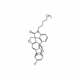 CCCCCN1C(=O)C2(COc3cc4c(cc32)OCO4)c2c(/C=C/c3ccc(F)cc3)cccc21